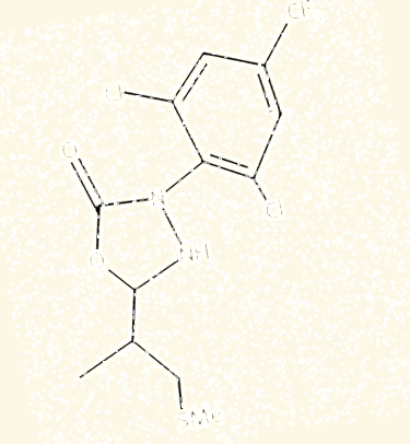 CSCC(C)C1NN(c2c(Cl)cc(C(F)(F)F)cc2Cl)C(=O)O1